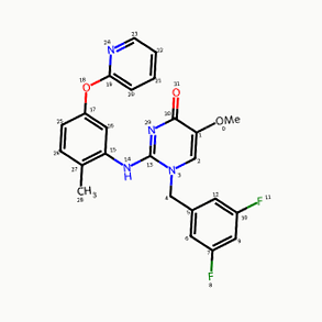 COc1cn(Cc2cc(F)cc(F)c2)c(Nc2cc(Oc3ccccn3)ccc2C)nc1=O